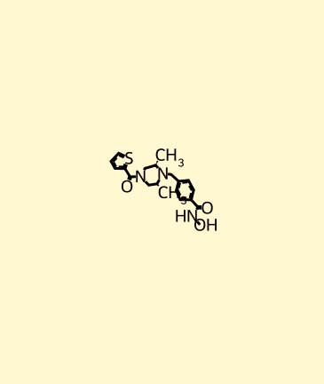 C[C@@H]1CN(C(=O)c2cccs2)C[C@H](C)N1Cc1ccc(C(=O)NO)cc1